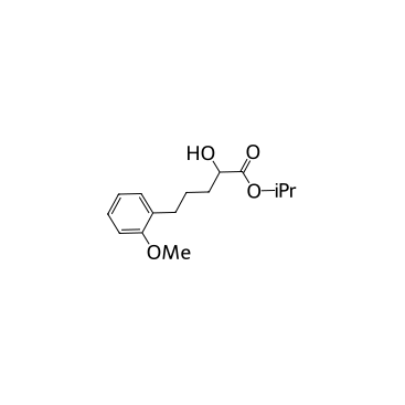 COc1ccccc1CCCC(O)C(=O)OC(C)C